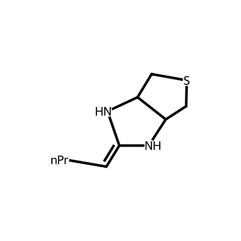 CCCC=C1NC2CSCC2N1